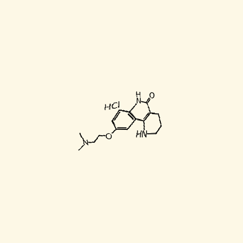 CN(C)CCOc1ccc2[nH]c(=O)c3c(c2c1)NCCC3.Cl